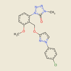 COc1cccc(-n2nnn(C)c2=O)c1COc1ccn(-c2ccc(Cl)cc2)n1